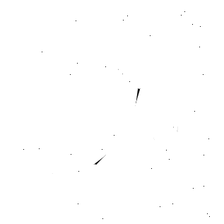 CC(=O)NC(C)[C@@H]1C[C@H](C(=O)OC(C)(C)C)C[C@H]1N